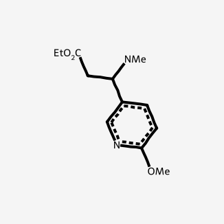 CCOC(=O)CC(NC)c1ccc(OC)nc1